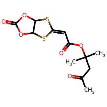 CC(=O)CC(C)(C)OC(=O)C=C1SC2OC(=O)OC2S1